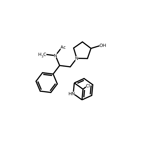 CC(=O)N(C)C(CN1CCC(O)C1)c1ccccc1.Clc1c2cccc1N2